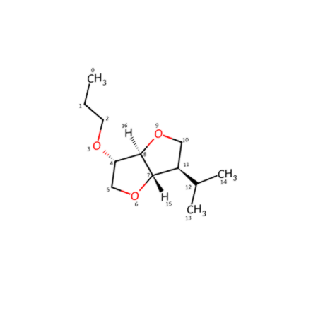 CCCO[C@H]1CO[C@@H]2[C@@H]1OC[C@H]2C(C)C